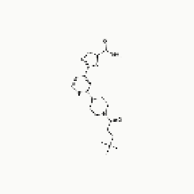 CC(C)(C)CCC(=O)N1CCN(c2cc(C3=NCC(C(N)=O)=N3)ccn2)CC1